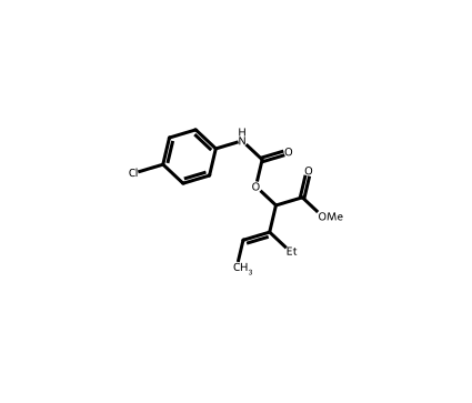 CC=C(CC)C(OC(=O)Nc1ccc(Cl)cc1)C(=O)OC